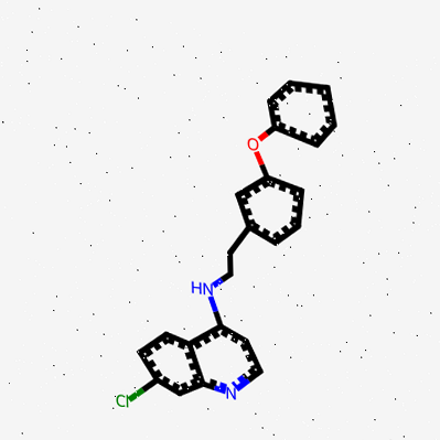 Clc1ccc2c(NCCc3cccc(Oc4ccccc4)c3)ccnc2c1